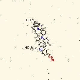 Cc1ccc(N(C2=C(C=CC3=[N+](CCCS(=O)(=O)O)c4ccc(SOOO)cc4C3(C)C)CCC2=CC=C2N(CCCS(=O)(=O)O)c3ccc(S(=O)(=O)O)cc3C2(C)C)c2ccc(C)cc2)cc1